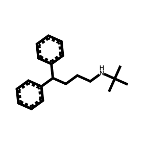 CC(C)(C)NCCCC(c1ccccc1)c1ccccc1